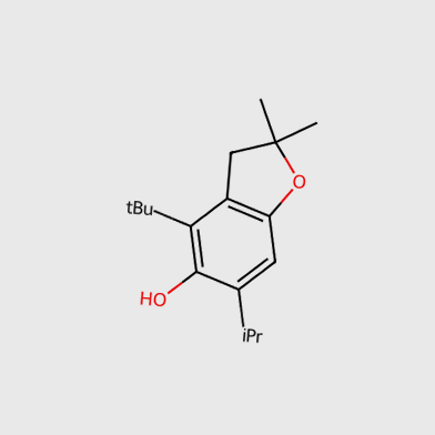 CC(C)c1cc2c(c(C(C)(C)C)c1O)CC(C)(C)O2